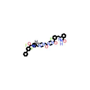 O=C(CN1CCN(C[C@H]2CC3CC[C@H]2CN3C(=O)c2c(F)cc(-c3ccccc3)cc2F)CC1)N1CCN(C(=O)c2cc(Cc3n[nH]c(=O)c4ccccc34)ccc2F)CC1